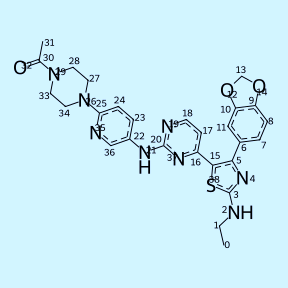 CCNc1nc(-c2ccc3c(c2)OCO3)c(-c2ccnc(Nc3ccc(N4CCN(C(C)=O)CC4)nc3)n2)s1